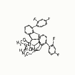 CCC1=Cc2c(-c3ccc(F)cc3F)cccc2[CH]1[Zr]([Cl])([Cl])([CH]1C(CC)=Cc2c(-c3ccc(F)cc3F)cccc21)[SiH](C)C